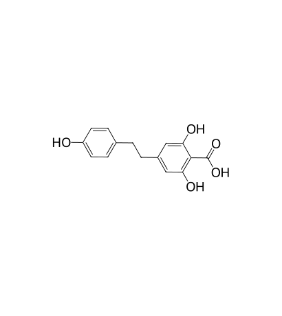 O=C(O)c1c(O)cc(CCc2ccc(O)cc2)cc1O